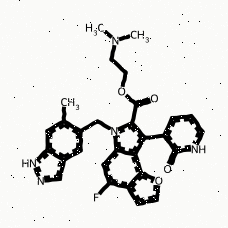 Cc1cc2[nH]ncc2cc1Cn1c(C(=O)OCCN(C)C)c(-c2ccc[nH]c2=O)c2c3occc3c(F)cc21